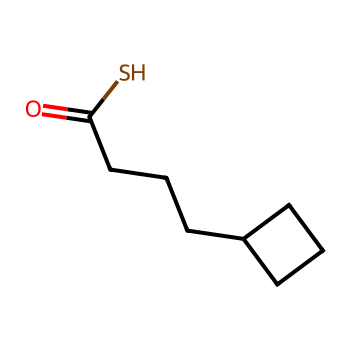 O=C(S)CCCC1CCC1